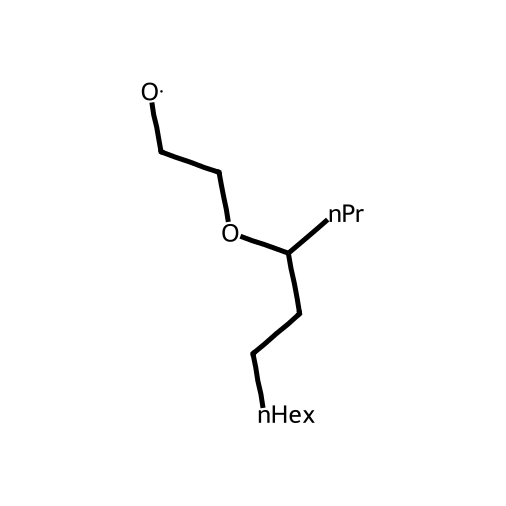 CCCCCCCCC(CCC)OCC[O]